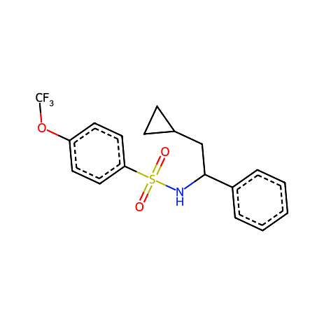 O=S(=O)(NC(CC1CC1)c1ccccc1)c1ccc(OC(F)(F)F)cc1